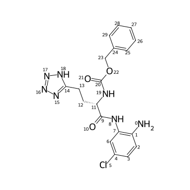 Nc1ccc(Cl)cc1NC(=O)[C@H](CCc1nnn[nH]1)NC(=O)OCc1ccccc1